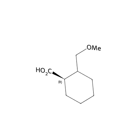 COCC1CCCC[C@H]1C(=O)O